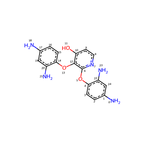 Nc1ccc(Oc2nccc(O)c2Oc2ccc(N)cc2N)c(N)c1